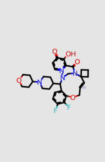 O=C1c2c(O)c(=O)ccn2N2CN1C1(/C=C/COc3c(ccc(F)c3F)C2C2CCN(C3CCOCC3)CC2)CCC1